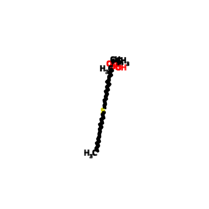 CCC(=O)O.CCC(=O)O.CCCCCCCCCCCCCCCCCCSCCCCCCCCCCCCCCCCCC